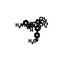 COc1ccc(-c2cnc(N3CCC(C)C3(C)C)c(C(=O)NS(=O)(=O)c3cccc(N)n3)c2)cc1